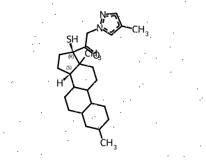 Cc1cnn(CC(=O)[C@@]2(S)CC[C@H]3C4CCC5CC(C)CCC5C4CCC32C)c1